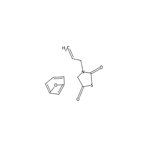 C=CCN1CC(=O)SC1=O.c1cc2cc(c1)O2